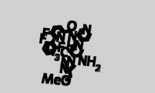 COCc1cn(C2[C@H](N)CN(c3ccncc3NC(=O)c3ccc(F)c(-c4c(F)cccc4F)n3)C[C@@H]2C)nn1